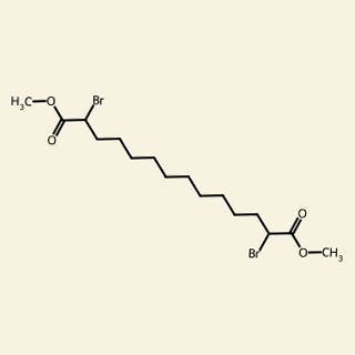 COC(=O)C(Br)CCCCCCCCCCC(Br)C(=O)OC